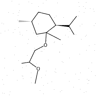 COC(C)COC1(C)C[C@H](C)CC[C@H]1C(C)C